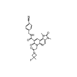 Cn1c(=O)n(C)c2c3cc(C(=O)NCc4ccc(C#N)cc4)c(=O)n(CC(=O)N4CC(C)(F)C4)c3ncc21